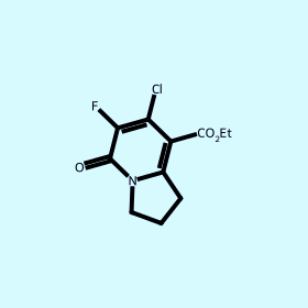 CCOC(=O)c1c(Cl)c(F)c(=O)n2c1CCC2